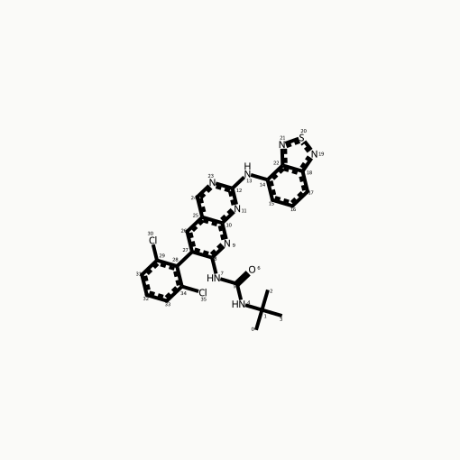 CC(C)(C)NC(=O)Nc1nc2nc(Nc3cccc4nsnc34)ncc2cc1-c1c(Cl)cccc1Cl